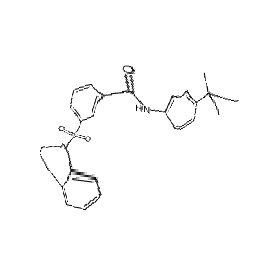 CC(C)(C)c1ccc(NC(=O)c2cccc(S(=O)(=O)N3CCc4ccccc43)c2)cc1